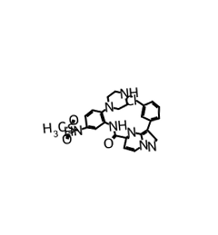 CS(=O)(=O)Nc1ccc(N2CCNCC2)c(NC(=O)c2ccn3ncc(-c4cccc(Cl)c4)c3n2)c1